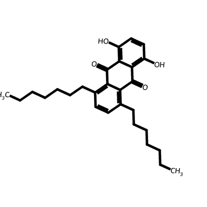 CCCCCCCc1ccc(CCCCCCC)c2c1C(=O)c1c(O)ccc(O)c1C2=O